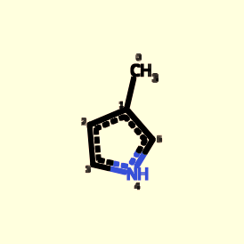 Cc1[c]c[nH]c1